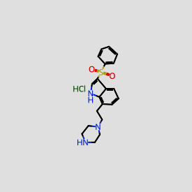 Cl.O=S(=O)(c1ccccc1)c1c[nH]c2c(CCN3CCNCC3)cccc12